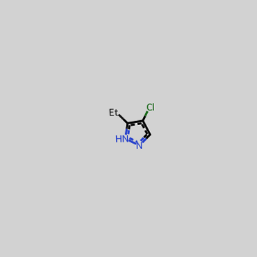 CCc1[nH]ncc1Cl